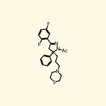 CC(=O)N1N=C(c2cc(F)ccc2F)C[C@@]1(CCCN1CCSCC1)c1ccccc1